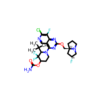 CC(C)(C)C1N(c2nc(OC[C@@]34CCCN3C[C@H](F)C4)nc3c(F)c(Cl)ncc23)CCC(OC(N)=O)C1(F)F